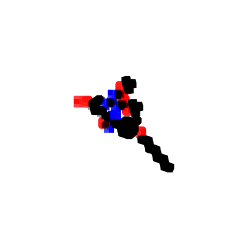 CCCCCCCCOc1ccc(-c2noc([C@@H]3C[C@H](O)CN3/C(=N/C(=O)OC(C)(C)C)NC(=O)OC(C)(C)C)n2)cc1C